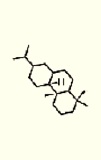 [CH2][C@@]1(C)CCC[C@@]2(C)C1CCC1CC(C(C)C)CC[C@H]12